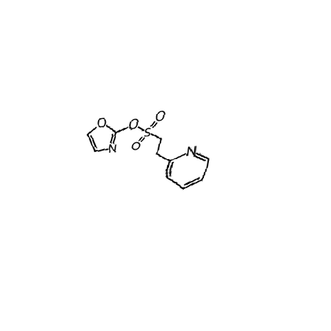 O=S(=O)(CCc1ccccn1)Oc1ncco1